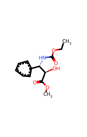 CCOC(=O)N[C@@H](c1ccccc1)[C@@H](O)C(=O)OC